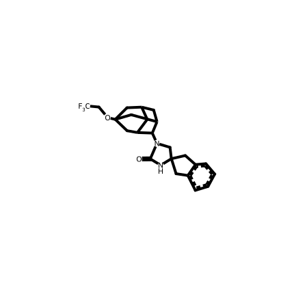 O=C1NC2(Cc3ccccc3C2)CN1C1C2CC3CC1CC(OCC(F)(F)F)(C3)C2